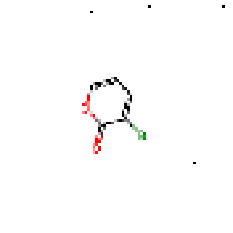 O=c1occcc1Br